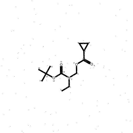 CCN(COC(=O)C1CC1)C(=O)OC(C)(C)C